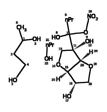 CC(O)CCO.CCCC(O)(O[N+](=O)[O-])[C@]1(O)CO[C@@H]2[C@@H](O)CO[C@@H]21.CCCO